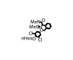 CCCCCCOc1c(Cl)cc(OCc2ccccc2C(=NOC)C(=O)NC)cc1Cl